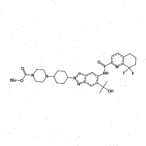 CC(C)(C)OC(=O)N1CCN(C2CCC(n3cc4cc(NC(=O)c5ccc6c(n5)C(F)(F)CCC6)c(C(C)(C)O)cc4n3)CC2)CC1